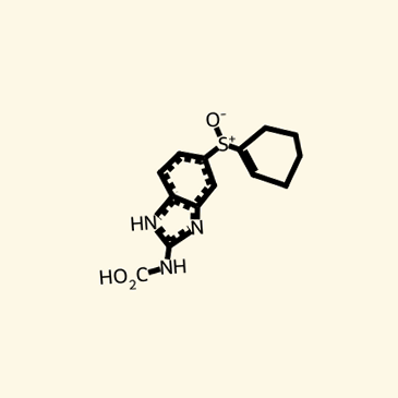 O=C(O)Nc1nc2cc([S+]([O-])C3=CCCCC3)ccc2[nH]1